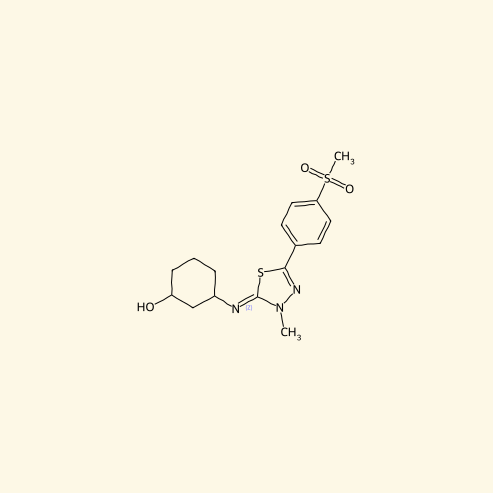 Cn1nc(-c2ccc(S(C)(=O)=O)cc2)s/c1=N\C1CCCC(O)C1